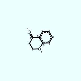 O=C1C[CH]Oc2ccccc21